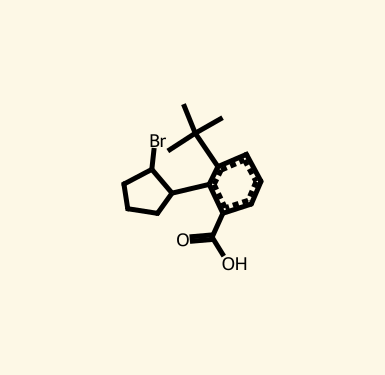 CC(C)(C)c1cccc(C(=O)O)c1C1CCCC1Br